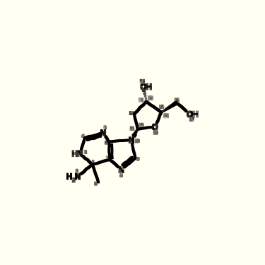 CC1(N)NC=Nc2c1ncn2[C@H]1C[C@H](O)[C@@H](CO)O1